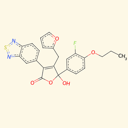 CCCOc1ccc(C2(O)OC(=O)C(c3ccc4nsnc4c3)=C2Cc2ccco2)cc1F